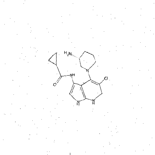 N[C@@H]1CCCN(C2=C(Cl)CNc3[nH]cc(NC(=O)C4CC4)c32)C1